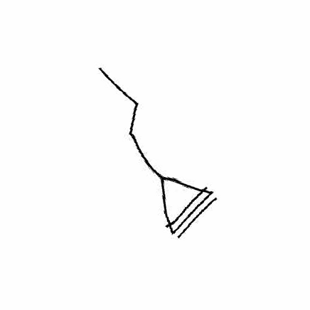 CCCC1C#C1